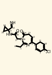 CCC1=NC(C2C=CC(Cl)=CC2)=CCC(=O)N1CC(=O)NC1(C=N)CC1